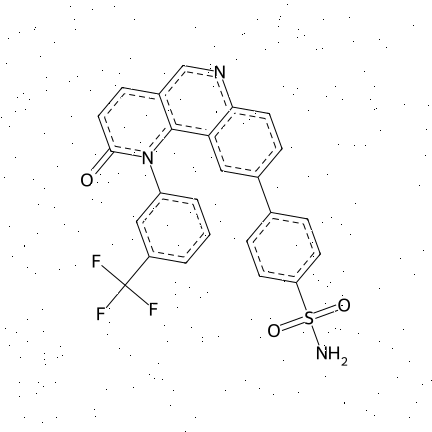 NS(=O)(=O)c1ccc(-c2ccc3ncc4ccc(=O)n(-c5cccc(C(F)(F)F)c5)c4c3c2)cc1